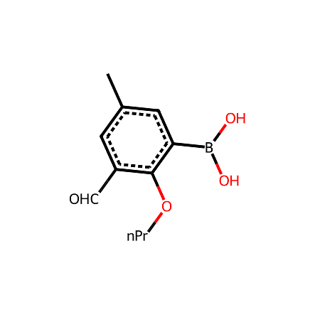 CCCOc1c(C=O)cc(C)cc1B(O)O